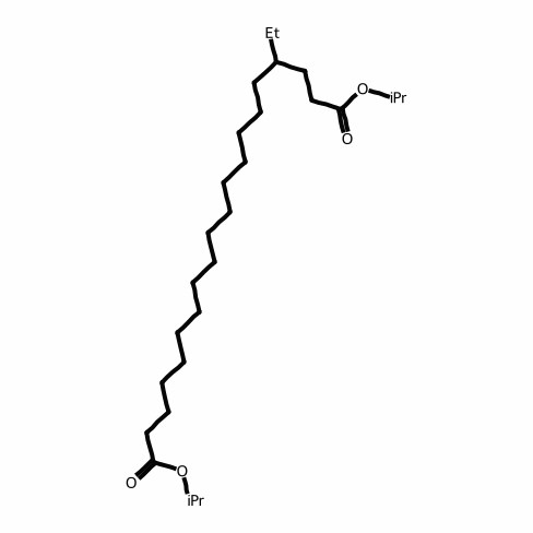 CCC(CCCCCCCCCCCCCCCC(=O)OC(C)C)CCC(=O)OC(C)C